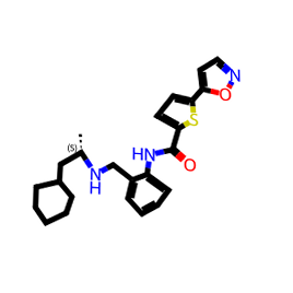 C[C@@H](CC1CCCCC1)NCc1ccccc1NC(=O)c1ccc(-c2ccno2)s1